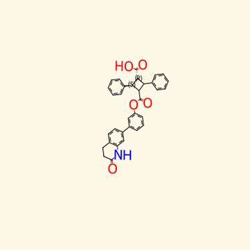 O=C1CCc2ccc(-c3cccc(OC(=O)C4C(c5ccccc5)[C@@H](C(=O)O)[C@@H]4c4ccccc4)c3)cc2N1